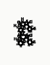 CC1(c2cccc(F)c2)C(=O)Nc2sc(Cl)c(-c3cccc(F)c3)c2C1=O.CC1(c2ccccc2F)C(=O)Nc2sc(Cl)c(-c3cccc(F)c3)c2C1=O